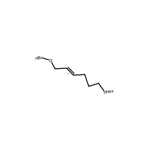 CCCCCCCCC/C=C/COCCCC